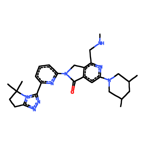 CNCc1nc(N2CC(C)CC(C)C2)cc2c1CN(c1cccc(-c3nnc4n3C(C)(C)CC4)n1)C2=O